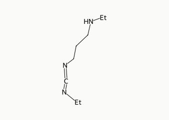 CCN=C=NCCCNCC